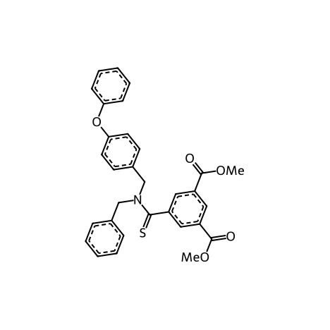 COC(=O)c1cc(C(=O)OC)cc(C(=S)N(Cc2ccccc2)Cc2ccc(Oc3ccccc3)cc2)c1